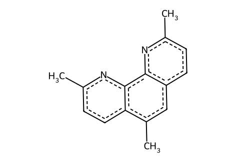 Cc1ccc2cc(C)c3ccc(C)nc3c2n1